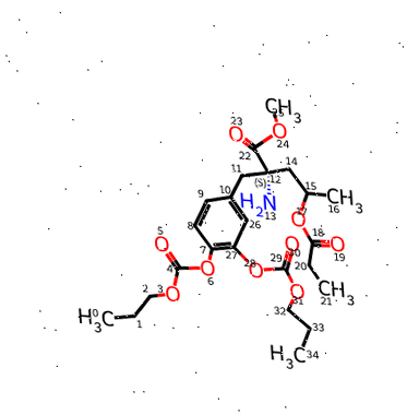 CCCOC(=O)Oc1ccc(C[C@](N)(CC(C)OC(=O)CC)C(=O)OC)cc1OC(=O)OCCC